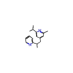 Cc1cc(CC(C)c2ccccn2)cc(C(C)C)n1